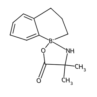 CC1(C)N[B-]2(CCCc3ccccc32)OC1=O